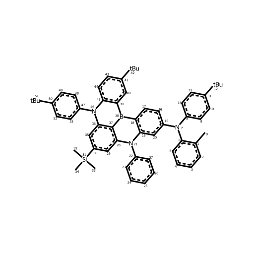 Cc1ccccc1N(c1ccc(C(C)(C)C)cc1)c1ccc2c(c1)N(c1ccccc1)c1cc([Si](C)(C)C)cc3c1B2c1cc(C(C)(C)C)ccc1N3c1ccc(C(C)(C)C)cc1